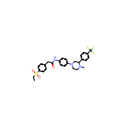 CCS(=O)(=O)c1ccc(CC(=O)Nc2ccc(N3CCN(C)C(c4ccc(C(F)(F)F)cc4)C3)cc2)cc1